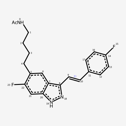 CC(=O)NCCCCc1cc2c(/C=C/c3ccc(F)cc3)n[nH]c2cc1F